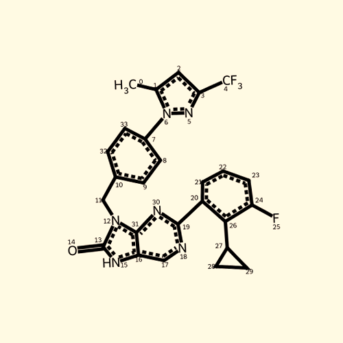 Cc1cc(C(F)(F)F)nn1-c1ccc(Cn2c(=O)[nH]c3cnc(-c4cccc(F)c4C4CC4)nc32)cc1